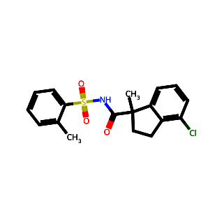 Cc1ccccc1S(=O)(=O)NC(=O)C1(C)CCc2c(Cl)cccc21